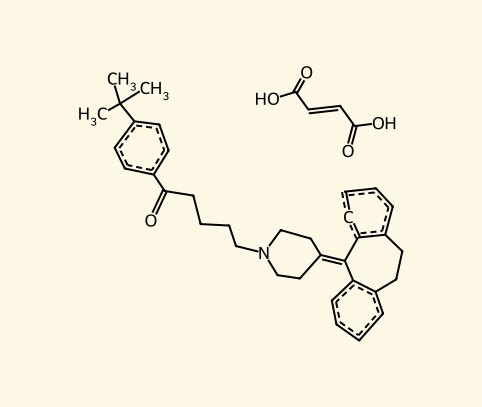 CC(C)(C)c1ccc(C(=O)CCCCN2CCC(=C3c4ccccc4CCc4ccccc43)CC2)cc1.O=C(O)C=CC(=O)O